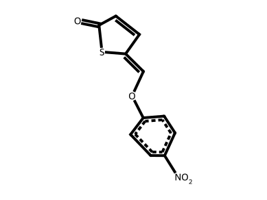 O=C1C=C/C(=C/Oc2ccc([N+](=O)[O-])cc2)S1